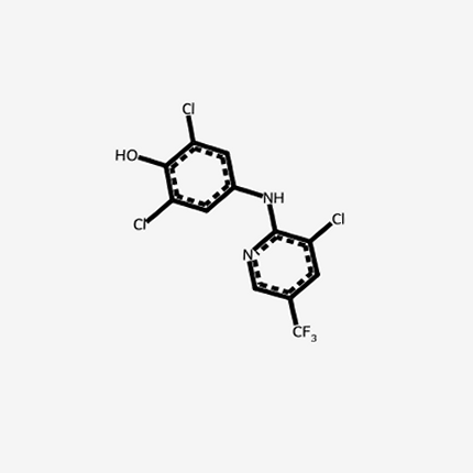 Oc1c(Cl)cc(Nc2ncc(C(F)(F)F)cc2Cl)cc1Cl